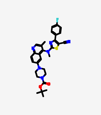 Cc1cnc2ccc(N3CCN(C(=O)OC(C)(C)C)CC3)cc2c1N(C)c1nc(-c2ccc(F)cc2)c(C#N)s1